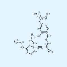 CCO[C@@H](Cc1ccc(OC/C=C(/C)C#CC2(OCC(F)(F)F)C=CC=C(OCC(F)(F)F)C2)c(I)c1)C(=O)O